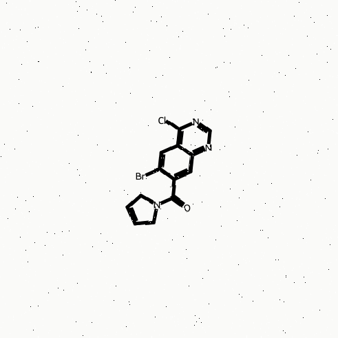 O=C(c1cc2ncnc(Cl)c2cc1Br)N1CC=CC1